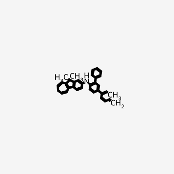 C=C/C=C\C(=C/C)c1ccc(Nc2ccc3c(c2)C(C)(C)C2=C3C=CCC=C2)c(-c2ccccc2)c1